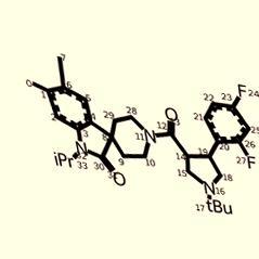 Cc1cc2c(cc1C)C1(CCN(C(=O)C3CN(C(C)(C)C)CC3c3ccc(F)cc3F)CC1)C(=O)N2C(C)C